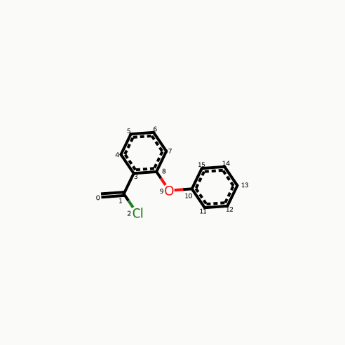 C=C(Cl)c1ccccc1Oc1ccccc1